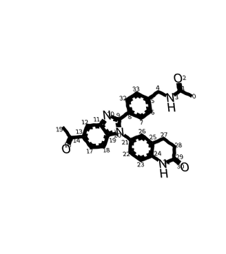 CC(=O)NCc1ccc(-c2nc3cc(C(C)=O)ccc3n2-c2ccc3c(c2)CCC(=O)N3)cc1